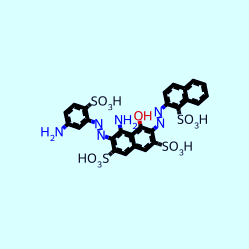 Nc1ccc(S(=O)(=O)O)c(N=Nc2c(S(=O)(=O)O)cc3cc(S(=O)(=O)O)c(N=Nc4ccc5ccccc5c4S(=O)(=O)O)c(O)c3c2N)c1